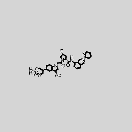 C/C=C(\C=N/C)c1ccc2c(c1)c(C(C)=O)cn2CC(=O)N1C[C@H](F)C[C@H]1C(=O)Nc1cccc2c1CN(c1ccccn1)C2